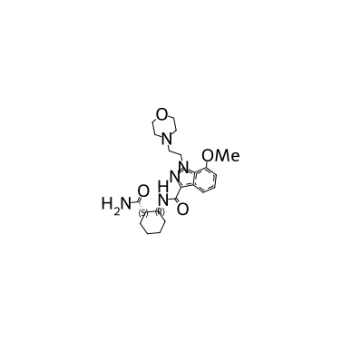 COc1cccc2c(C(=O)N[C@@H]3CCCC[C@@H]3C(N)=O)nn(CCN3CCOCC3)c12